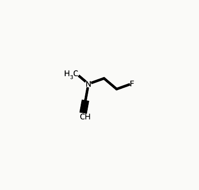 C#CN(C)CCF